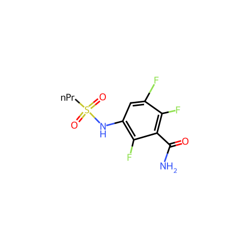 CCCS(=O)(=O)Nc1cc(F)c(F)c(C(N)=O)c1F